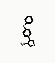 NC1COCC1c1ccc(Oc2ccccc2)cc1